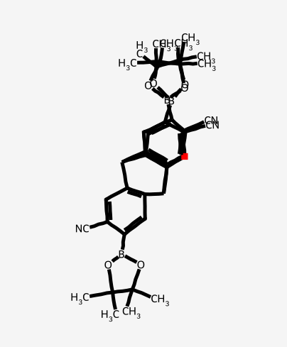 CC1(C)OB(c2cc3c(cc2C#N)C2c4cc(B5OC(C)(C)C(C)(C)O5)c(C#N)cc4C3c3cc(C#N)c(B4OC(C)(C)C(C)(C)O4)cc32)OC1(C)C